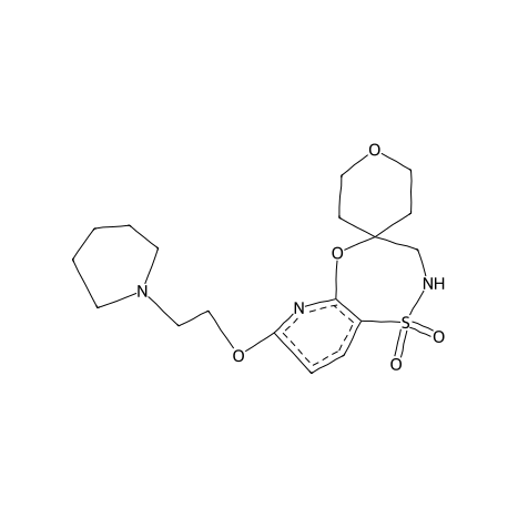 O=S1(=O)NCC2(CCOCC2)Oc2nc(OCCN3CCCCC3)ccc21